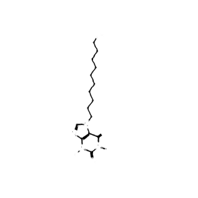 CCn1c(=O)c2c(ncn2CCCCCCCCCCO)n(CC)c1=O